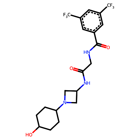 O=C(CNC(=O)c1cc(C(F)(F)F)cc(C(F)(F)F)c1)NC1CN(C2CCC(O)CC2)C1